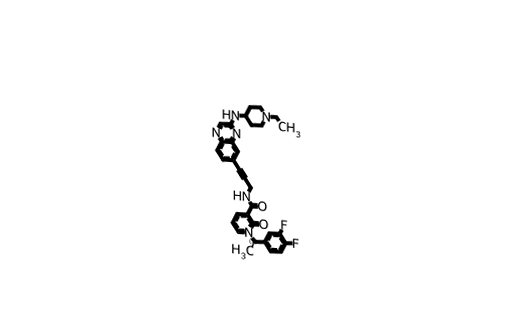 CCN1CCC(Nc2cnc3ccc(C#CCNC(=O)c4cccn([C@@H](C)c5ccc(F)c(F)c5)c4=O)cc3n2)CC1